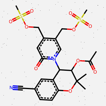 CC(=O)OC1C(n2cc(COS(C)(=O)=O)c(COS(C)(=O)=O)cc2=O)c2cc(C#N)ccc2OC1(C)C